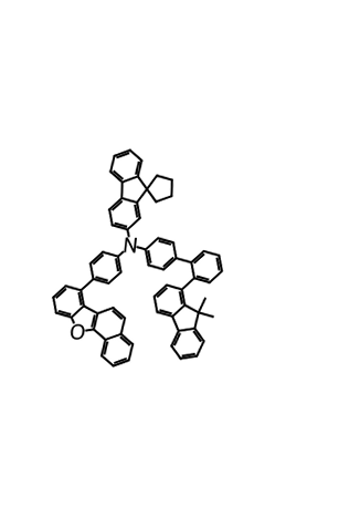 CC1(C)c2ccccc2-c2cccc(-c3ccccc3-c3ccc(N(c4ccc(-c5cccc6oc7c8ccccc8ccc7c56)cc4)c4ccc5c(c4)C4(CCCC4)c4ccccc4-5)cc3)c21